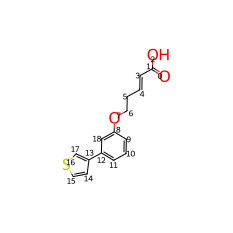 O=C(O)C=CCCOc1cccc(-c2ccsc2)c1